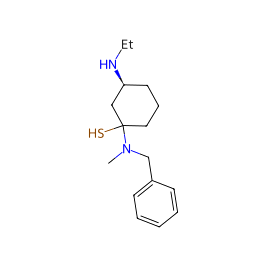 CCN[C@H]1CCCC(S)(N(C)Cc2ccccc2)C1